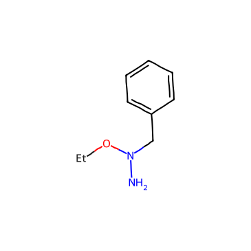 CCON(N)Cc1ccccc1